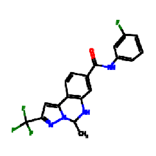 CC1Nc2cc(C(=O)Nc3cccc(F)c3)ccc2-c2cc(C(F)(F)F)nn21